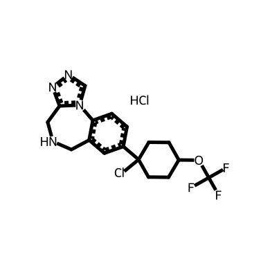 Cl.FC(F)(F)OC1CCC(Cl)(c2ccc3c(c2)CNCc2nncn2-3)CC1